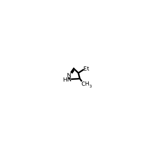 CCC1C=NNC1C